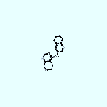 c1ccc2ncc(Nc3ncnc4c3CCNC4)cc2c1